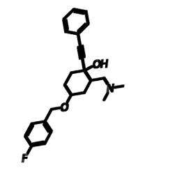 CN(C)CC1CC(OCc2ccc(F)cc2)CCC1(O)C#Cc1ccccc1